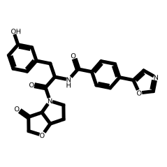 O=C(NC(Cc1cccc(O)c1)C(=O)N1CCC2OCC(=O)C21)c1ccc(-c2cnco2)cc1